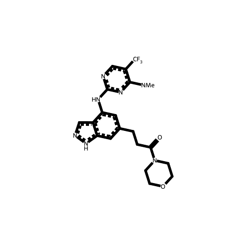 CNc1nc(Nc2cc(CCC(=O)N3CCOCC3)cc3[nH]ncc23)ncc1C(F)(F)F